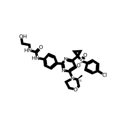 C[C@H]1COCCN1c1cc(C2(S(=O)(=O)c3ccc(Cl)cc3)CC2)nc(-c2ccc(NC(=O)NCCO)cc2)n1